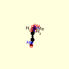 CNC(=O)C(C)(C(=O)NO)N(C)C(=O)c1ccc(C#Cc2ccc(CNC3COC3)cc2)cc1